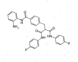 Nc1ccccc1NC(=O)c1ccc(CC(C(=O)Nc2ccc(F)cc2)C(=O)Nc2ccc(F)cc2)cc1